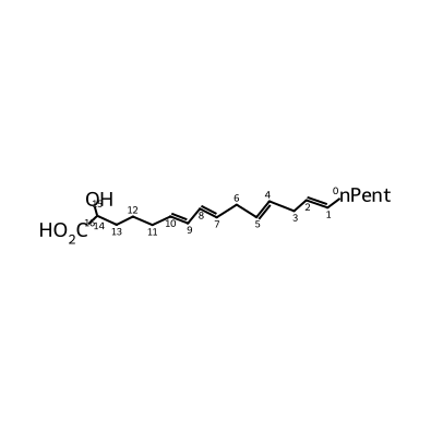 CCCCC/C=C/C/C=C/C/C=C/C=C/CCCC(O)C(=O)O